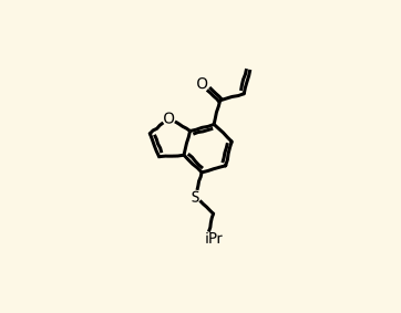 C=CC(=O)c1ccc(SCC(C)C)c2ccoc12